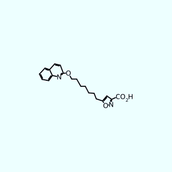 O=C(O)c1cc(CCCCCCCOc2ccc3ccccc3n2)on1